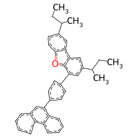 CCC(C)c1ccc2oc3c(-c4ccc(-c5cc6ccccc6c6ccccc56)cc4)cc(C(C)CC)cc3c2c1